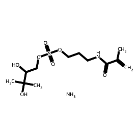 C=C(C)C(=O)NCCCOS(=O)(=O)OCC(O)C(C)(C)O.N